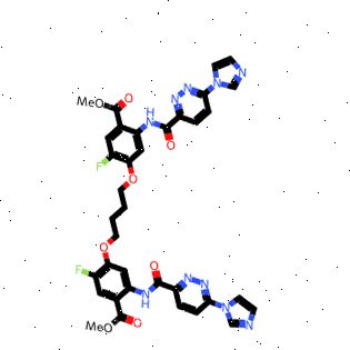 COC(=O)c1cc(F)c(OCCCCOc2cc(NC(=O)c3ccc(-n4ccnc4)nn3)c(C(=O)OC)cc2F)cc1NC(=O)c1ccc(-n2ccnc2)nn1